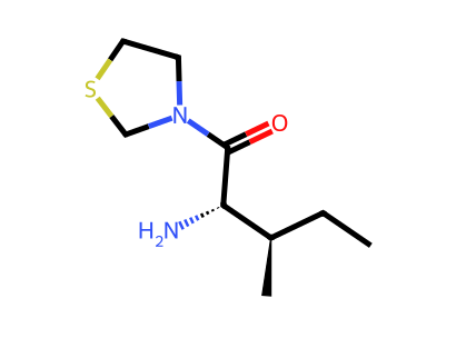 CC[C@@H](C)[C@H](N)C(=O)N1CCSC1